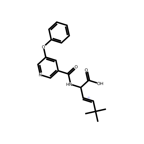 CC(C)(C)/C=C/C(NC(=O)c1cncc(Oc2ccccc2)c1)C(=O)O